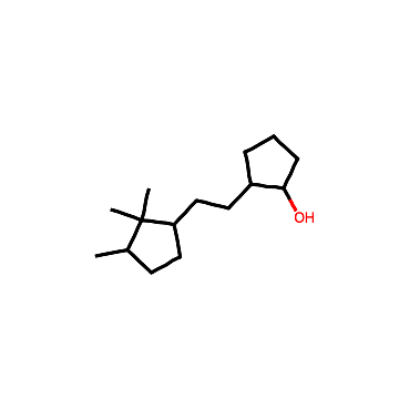 CC1CCC(CCC2CCCC2O)C1(C)C